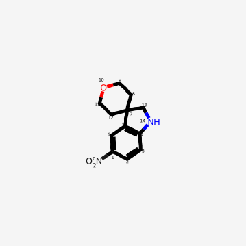 O=[N+]([O-])c1ccc2c(c1)C1(CCOCC1)CN2